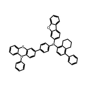 c1ccc(-c2ccc(N(c3ccc(-c4ccc5c(c4)Sc4ccccc4N5c4ccccc4)cc3)c3ccc4c(c3)oc3ccccc34)c3c2CCCC3)cc1